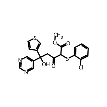 COC(=O)C(Sc1ccccc1Cl)C(=O)CC(O)(c1cncnc1)c1ccsc1